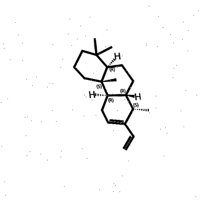 C=CC1=CC[C@@H]2[C@H](CC[C@@H]3C(C)(C)CCC[C@@]23C)[C@@H]1C